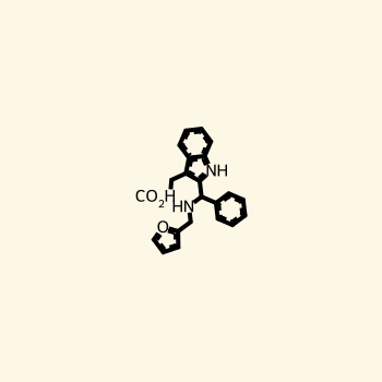 O=C(O)Cc1c(C(NCc2ccco2)c2ccccc2)[nH]c2ccccc12